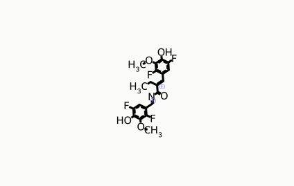 CC/C(=C\c1cc(F)c(O)c(OC)c1F)C(=O)/N=C/c1cc(F)c(O)c(OC)c1F